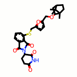 CC1(C)C2CCC1(C)C(OCc1ccc(CSc3cccc4c3C(=O)N(C3CCC(=O)NC3=O)C4=O)o1)C2